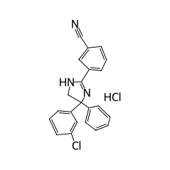 Cl.N#Cc1cccc(C2=NC(c3ccccc3)(c3cccc(Cl)c3)CN2)c1